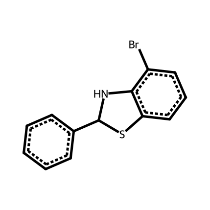 Brc1cccc2c1NC(c1ccccc1)S2